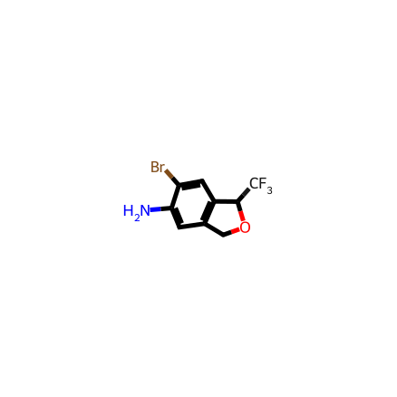 Nc1cc2c(cc1Br)C(C(F)(F)F)OC2